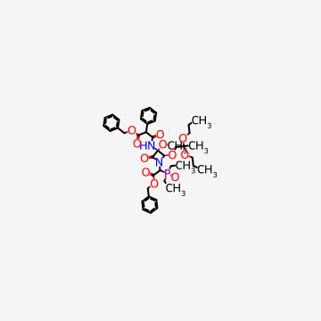 CCCOC(C)(CO[C@H]1N(C(C(=O)OCc2ccccc2)P(=O)(CC)CC)C(=O)[C@]1(NC(=O)C(C(=O)OCc1ccccc1)c1ccccc1)OC)OCCC